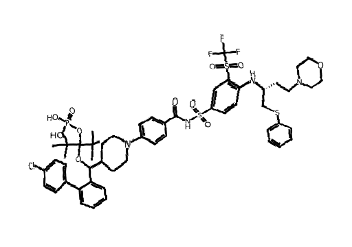 CC(C)(C)C(OC(c1ccccc1-c1ccc(Cl)cc1)C1CCN(c2ccc(C(=O)NS(=O)(=O)c3ccc(N[C@H](CCN4CCOCC4)CSc4ccccc4)c(S(=O)(=O)C(F)(F)F)c3)cc2)CC1)(OP(=O)(O)O)C(C)(C)C